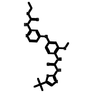 CCOC(=O)Nc1cc(Oc2ccc(NC(=O)Nc3ncc(C(C)(C)C)s3)c(SC)c2)ccn1